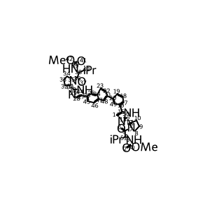 COC(=O)NC(C(=O)N1CCC[C@H]1c1ncc(-c2cccc(-c3ccc4cc(-c5cnc([C@@H]6CCCN6C(=O)C(NC(=O)OC)C(C)C)[nH]5)ccc4c3)c2)[nH]1)C(C)C